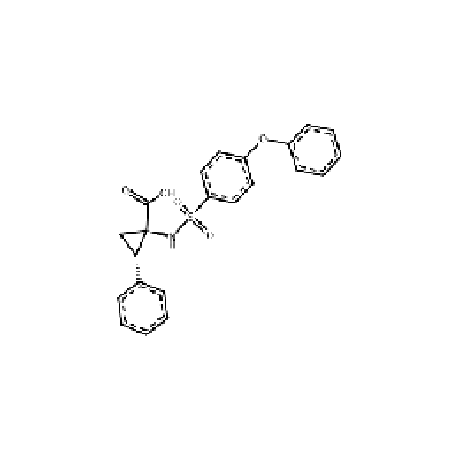 O=C(O)[C@@]1(NS(=O)(=O)c2ccc(Oc3ccccc3)cc2)C[C@H]1c1ccccc1